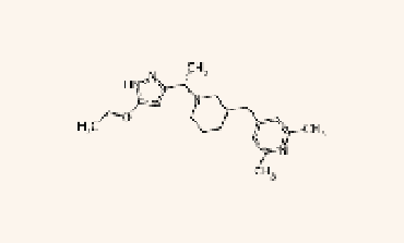 CCOc1cc([C@H](C)N2CCCC(Cc3cc(C)nc(C)c3)C2)n[nH]1